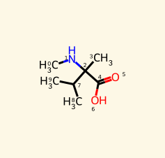 CNC(C)(C(=O)O)C(C)C